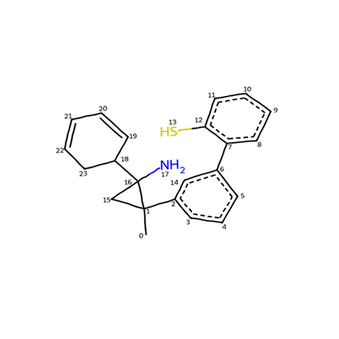 CC1(c2cccc(-c3ccccc3S)c2)CC1(N)C1C=CC=CC1